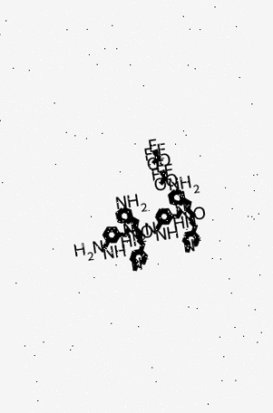 C[n+]1ccc(CNC(=O)c2cc3cc(N)ccc3n2Cc2cccc(C(=N)N)c2)cc1.C[n+]1ccc(CNC(=O)c2cc3cc(N)ccc3n2Cc2cccc(C(=N)N)c2)cc1.O=C([O-])C(F)(F)F.O=C([O-])C(F)(F)F